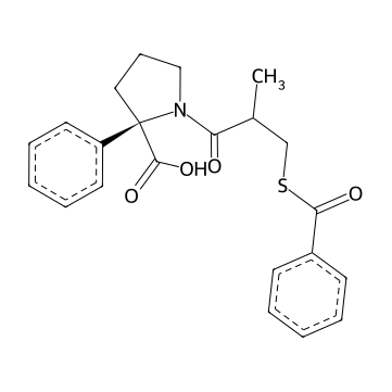 CC(CSC(=O)c1ccccc1)C(=O)N1CCC[C@]1(C(=O)O)c1ccccc1